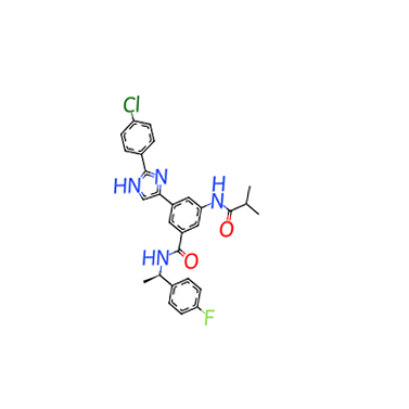 CC(C)C(=O)Nc1cc(C(=O)N[C@H](C)c2ccc(F)cc2)cc(-c2c[nH]c(-c3ccc(Cl)cc3)n2)c1